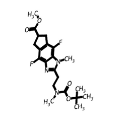 COC(=O)C1Cc2c(c(F)c3c(nc(CCN(C)C(=O)OC(C)(C)C)n3C)c2F)C1